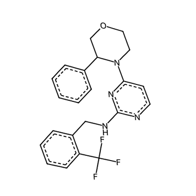 FC(F)(F)c1ccccc1CNc1nccc(N2CCOCC2c2ccccc2)n1